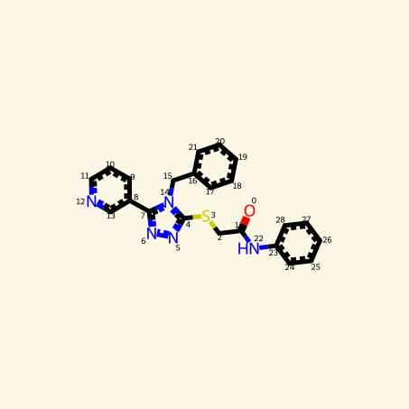 O=C(CSc1nnc(-c2cccnc2)n1Cc1ccccc1)Nc1ccccc1